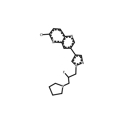 FC(CN1CCCC1)Cn1cc(-c2cnc3ccc(Cl)nc3c2)cn1